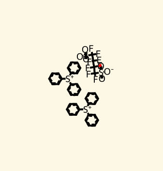 O=S(=O)([O-])C(F)(F)C(F)(F)C(F)(F)C(F)(F)S(=O)(=O)[O-].c1ccc([S+](c2ccccc2)c2ccccc2)cc1.c1ccc([S+](c2ccccc2)c2ccccc2)cc1